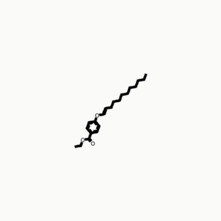 CCCCCCCCCCC=COc1ccc(C(=O)OCC)cc1